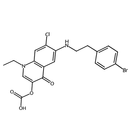 CCn1cc(OC(=O)O)c(=O)c2cc(NCCc3ccc(Br)cc3)c(Cl)cc21